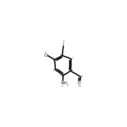 Nc1cc(Cl)c(I)cc1C=O